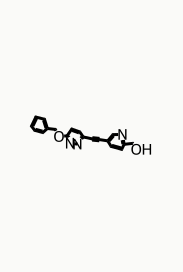 OCc1ccc(C#Cc2ccc(OCc3ccccc3)nn2)cn1